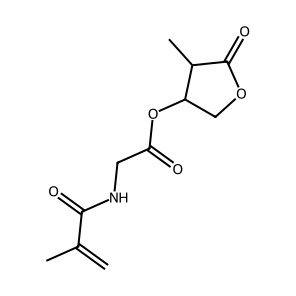 C=C(C)C(=O)NCC(=O)OC1COC(=O)C1C